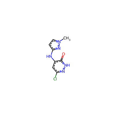 Cn1ccc(Nc2cc(Cl)n[nH]c2=O)n1